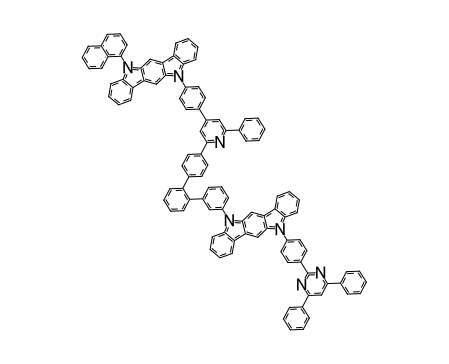 c1ccc(-c2cc(-c3ccc(-n4c5ccccc5c5cc6c(cc54)c4ccccc4n6-c4cccc5ccccc45)cc3)cc(-c3ccc(-c4ccccc4-c4cccc(-n5c6ccccc6c6cc7c(cc65)c5ccccc5n7-c5ccc(-c6nc(-c7ccccc7)cc(-c7ccccc7)n6)cc5)c4)cc3)n2)cc1